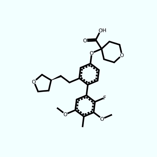 COc1cc(-c2ccc(OC3(C(=O)O)CCOCC3)cc2CC[C@H]2CCOC2)c(F)c(OC)c1C